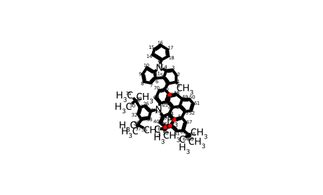 CC1CC=c2c(c3ccccc3n2-c2ccccc2)=C1c1ccc(N(c2cc(C(C)(C)C)cc(C(C)(C)C)c2)c2ccccc2-c2cccc3cccc(-c4cc(C(C)(C)C)cc(C(C)(C)C)c4)c23)cc1